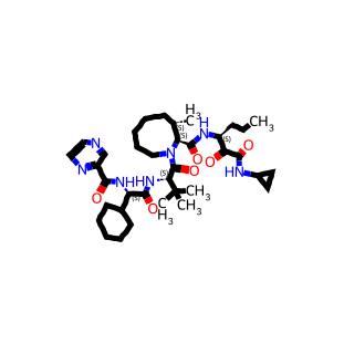 CCC[C@H](NC(=O)[C@@H]1[C@@H](C)CCCCCN1C(=O)[C@@H](NC(=O)[C@@H](NC(=O)c1cnccn1)C1CCCCC1)C(C)(C)C)C(=O)C(=O)NC1CC1